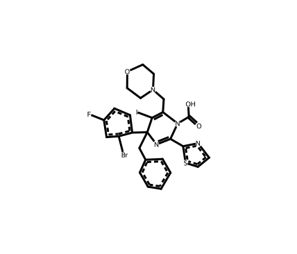 O=C(O)N1C(c2nccs2)=NC(Cc2ccccc2)(c2ccc(F)cc2Br)C(I)=C1CN1CCOCC1